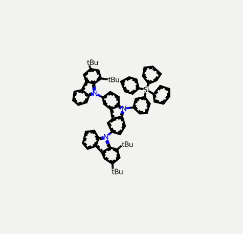 CC(C)(C)c1cc(C(C)(C)C)c2c(c1)c1ccccc1n2-c1ccc2c(c1)c1cc(-n3c4ccccc4c4cc(C(C)(C)C)cc(C(C)(C)C)c43)ccc1n2-c1cccc([Si](c2ccccc2)(c2ccccc2)c2ccccc2)c1